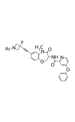 CC(=O)N1CC(F)(C#Cc2ccc3c(c2)N(C)C(=O)C(NC(=O)c2cc(Oc4ccccc4)ccn2)CO3)C1